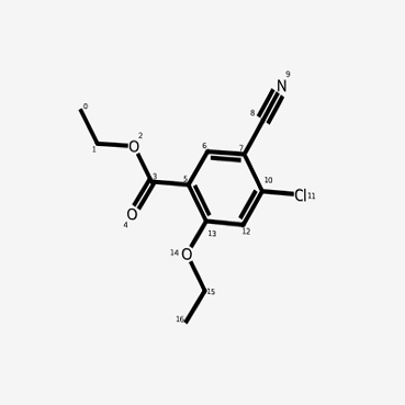 CCOC(=O)c1cc(C#N)c(Cl)cc1OCC